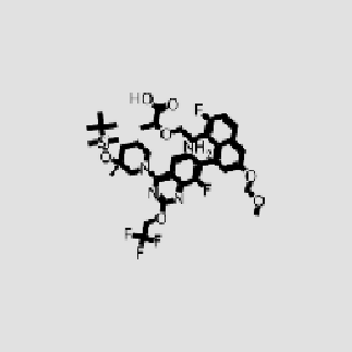 COCOc1cc(-c2c(N)cc3c(N4CCC[C@@](C)(O[Si](C)(C)C(C)(C)C)C4)nc(OCC(F)(F)F)nc3c2F)c2c(CCOC(C)C(=O)O)c(F)ccc2c1